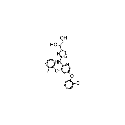 Cc1ncccc1Oc1cc(Oc2ccccc2Cl)cnc1Nc1nc(C(O)CO)cs1